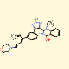 C=C/C(=C\C=C\N1CCOCC1)c1cccc(-c2n[nH]nc2C2NC(O)c3ccccc3N2C)c1